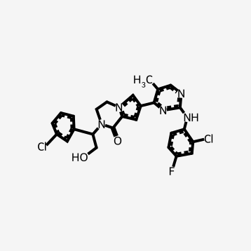 Cc1cnc(Nc2ccc(F)cc2Cl)nc1-c1cc2n(c1)CCN(C(CO)c1cccc(Cl)c1)C2=O